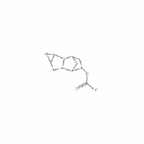 CCCC(=O)OC1CC2CC1C1CC3OC3C21